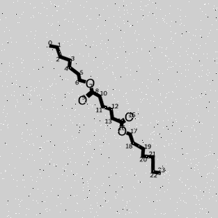 CCCCCCCOC(=O)CCCCC(=O)OCCCCCCC